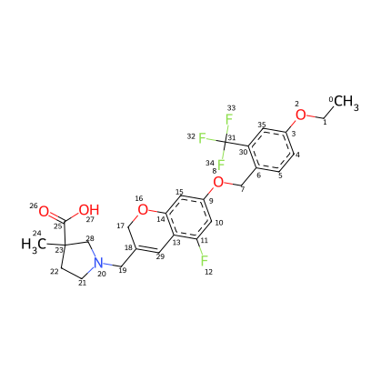 CCOc1ccc(COc2cc(F)c3c(c2)OCC(CN2CCC(C)(C(=O)O)C2)=C3)c(C(F)(F)F)c1